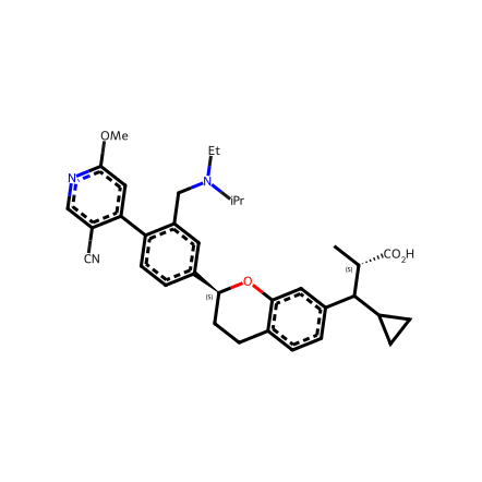 CCN(Cc1cc([C@@H]2CCc3ccc(C(C4CC4)[C@H](C)C(=O)O)cc3O2)ccc1-c1cc(OC)ncc1C#N)C(C)C